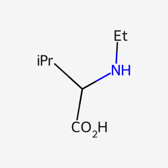 CCNC(C(=O)O)C(C)C